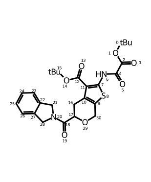 CC(C)(C)OC(=O)C(=O)Nc1sc2c(c1C(=O)OC(C)(C)C)CC(C(=O)N1Cc3ccccc3C1)OC2